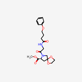 COC(=O)[C@@H]1CC2(CN1C(=O)CNC(=O)CCCOc1ccccc1)OCCO2